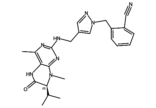 Cc1nc(NCc2cnn(Cc3ccccc3C#N)c2)nc2c1NC(=O)[C@H](C(C)C)N2C